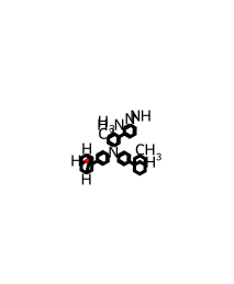 Cc1cc(-c2cccc(N=N)c2N)cc(N(c2ccc(C34CCC[C@@H](C[C@@H](C)C3)C4)cc2)c2ccc(C34C[C@H]5C[C@H](C3)C[C@@H](C4)C5)cc2)c1